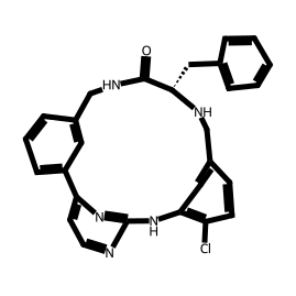 O=C1NCc2cccc(c2)-c2ccnc(n2)Nc2cc(ccc2Cl)CN[C@H]1Cc1ccccc1